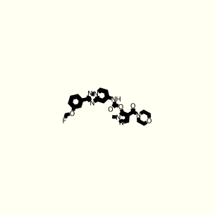 Cn1ncc(C(=O)N2CCOCC2)c1OC(=O)Nc1ccn2nc(-c3cccc(OCF)c3)nc2c1